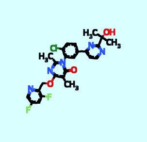 Cc1c(OCc2ncc(F)cc2F)nc(C)n(-c2cc(-c3ccnc(C(C)(C)O)n3)ccc2Cl)c1=O